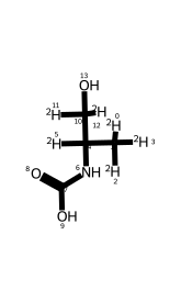 [2H]C([2H])([2H])C([2H])(NC(=O)O)C([2H])([2H])O